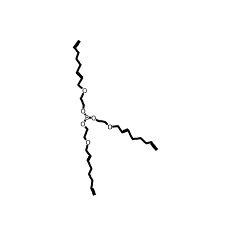 C=CCCCC=CCOCCOB(OCCOCC=CCCCC=C)OCCOCC=CCCCC=C